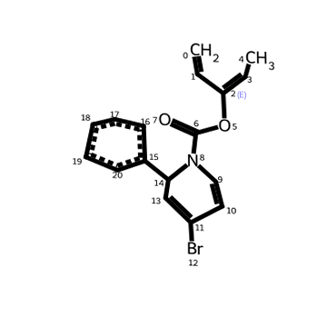 C=C/C(=C\C)OC(=O)N1C=CC(Br)=CC1c1ccccc1